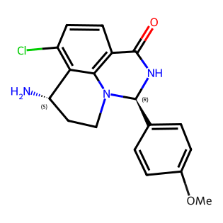 COc1ccc([C@@H]2NC(=O)c3ccc(Cl)c4c3N2CC[C@@H]4N)cc1